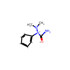 CN(C)N(C(N)=O)c1ccccc1